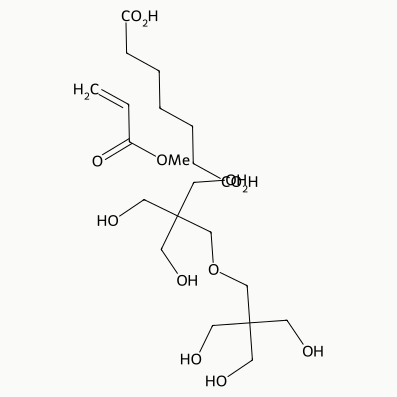 C=CC(=O)OC.O=C(O)CCCCCC(=O)O.OCC(CO)(CO)COCC(CO)(CO)CO